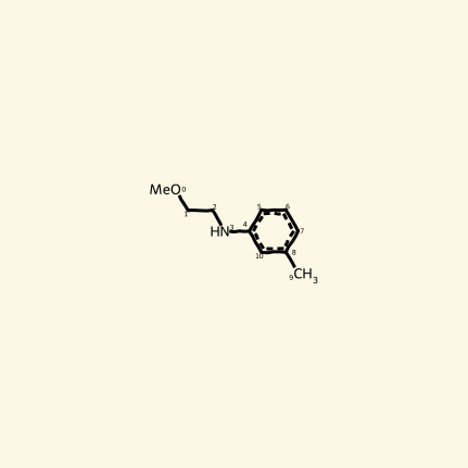 COCCNc1cccc(C)c1